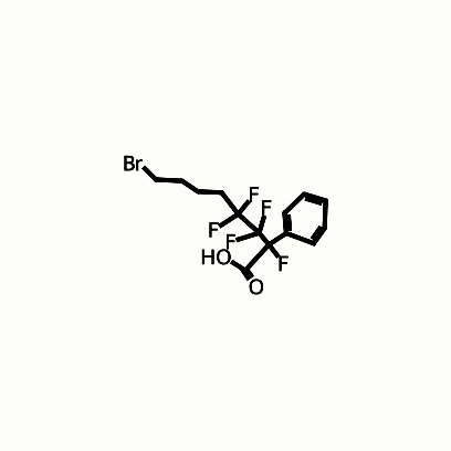 O=C(O)C(F)(c1ccccc1)C(F)(F)C(F)(F)CCCCBr